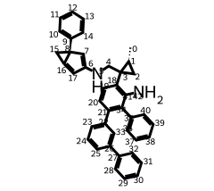 C[C@@H]1CC1(CNC1=C[C@@]2(c3ccccc3)CC2=C1)c1ccc(-c2cccc(-c3ccccc3)c2)c(-c2ccccc2)c1N